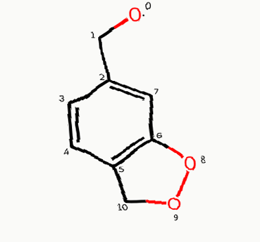 [O]Cc1ccc2c(c1)OOC2